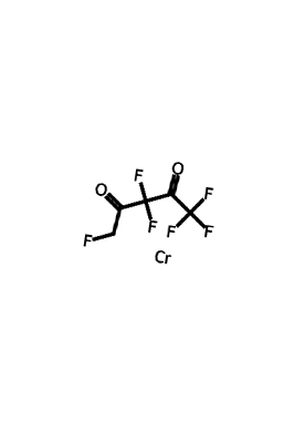 O=C(CF)C(F)(F)C(=O)C(F)(F)F.[Cr]